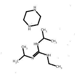 C1CNCCN1.CCNC(=NC(C)C)NC(C)C